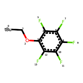 CC(C)(C)COc1c(F)c(F)c(F)c(F)c1F